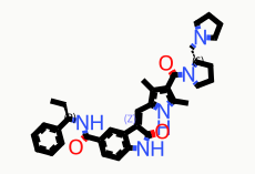 CC[C@@H](NC(=O)c1ccc2c(c1)/C(=C/c1[nH]c(C)c(C(=O)N3CCC[C@H]3CN3CCCC3)c1C)C(=O)N2)c1ccccc1